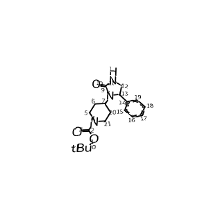 CC(C)(C)OC(=O)N1CCC(N2C(=O)NCC2c2ccccc2)CC1